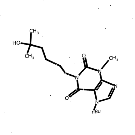 CCCCn1cnc2c1c(=O)n(CCCCC(C)(C)O)c(=O)n2C